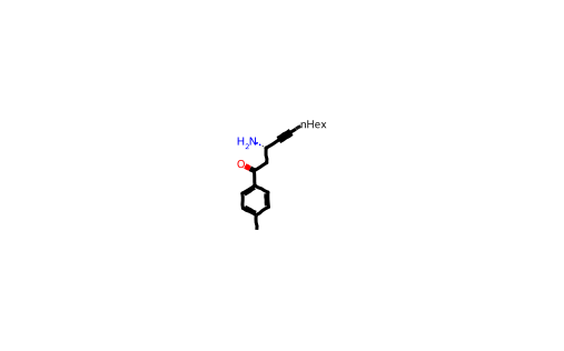 CCCCCCC#C[C@@H](N)CC(=O)c1ccc(C)cc1